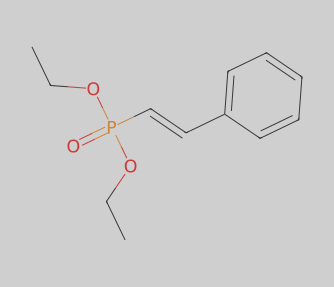 CCOP(=O)(C=Cc1ccccc1)OCC